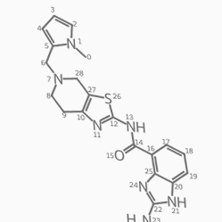 Cn1cccc1CN1CCc2nc(NC(=O)c3cccc4[nH]c(N)nc34)sc2C1